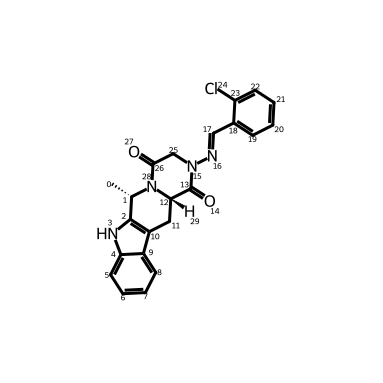 C[C@H]1c2[nH]c3ccccc3c2C[C@H]2C(=O)N(/N=C/c3ccccc3Cl)CC(=O)N21